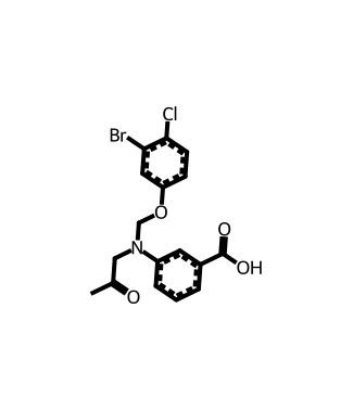 CC(=O)CN(COc1ccc(Cl)c(Br)c1)c1cccc(C(=O)O)c1